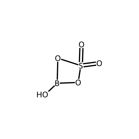 O=S1(=O)OB(O)O1